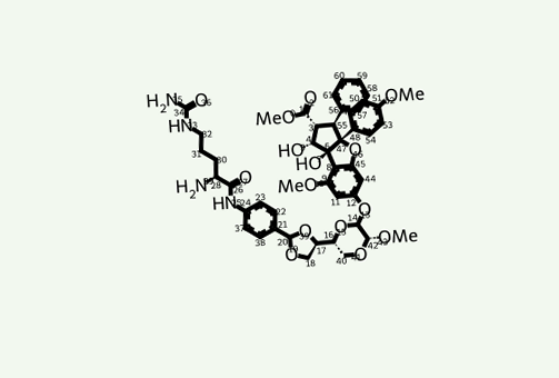 COC(=O)[C@H]1[C@@H](O)[C@@]2(O)c3c(OC)cc(OC4O[C@@H]([C@H]5COC(c6ccc(NC(=O)[C@@H](N)CCCNC(N)=O)cc6)O5)CO[C@H]4OC)cc3O[C@@]2(c2ccc(OC)cc2)[C@@H]1c1ccccc1